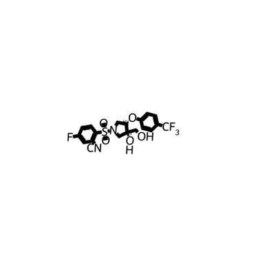 N#Cc1cc(F)ccc1S(=O)(=O)N1C[C@H](Oc2ccc(C(F)(F)F)cc2)[C@](O)(CO)C1